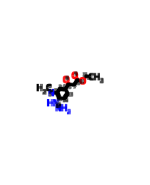 C=Nc1cc(C(=O)CC(=O)OCC)ccc1NN